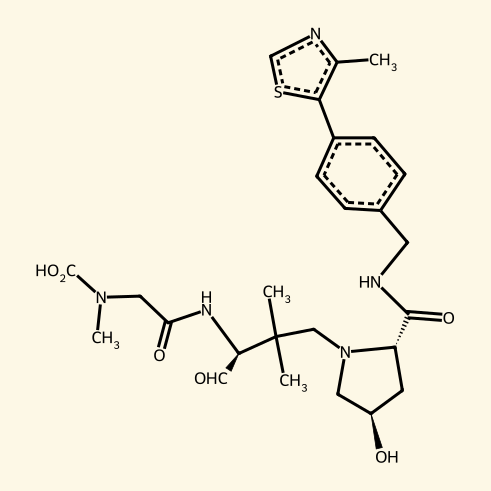 Cc1ncsc1-c1ccc(CNC(=O)[C@@H]2C[C@@H](O)CN2CC(C)(C)[C@@H](C=O)NC(=O)CN(C)C(=O)O)cc1